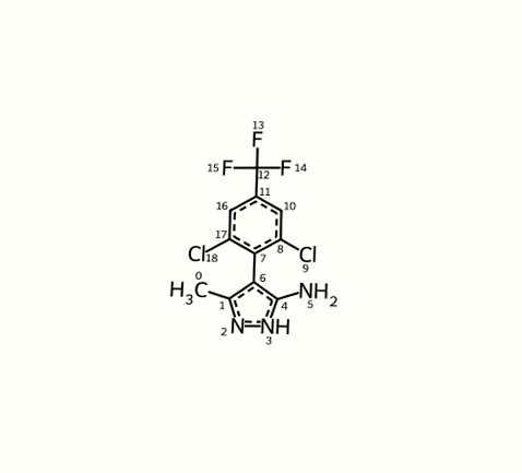 Cc1n[nH]c(N)c1-c1c(Cl)cc(C(F)(F)F)cc1Cl